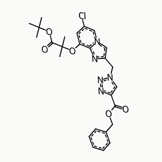 CC(C)(C)OC(=O)C(C)(C)Oc1cc(Cl)cn2cc(Cn3cc(C(=O)OCc4ccccc4)nn3)nc12